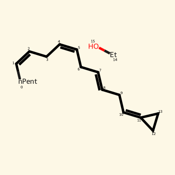 CCCCC/C=C\C/C=C\C/C=C/CC=C1CC1.CCO